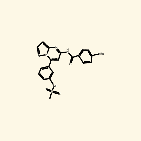 CC(C)(C)c1ccc(C(=O)Nc2cc(-c3cccc(NS(C)(=O)=O)c3)n3nccc3n2)cc1